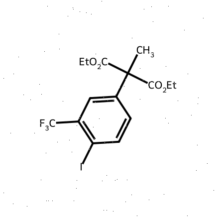 CCOC(=O)C(C)(C(=O)OCC)c1ccc(I)c(C(F)(F)F)c1